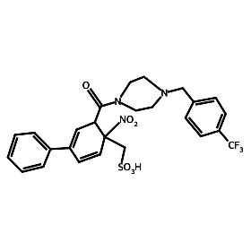 O=C(C1C=C(c2ccccc2)C=CC1(CS(=O)(=O)O)[N+](=O)[O-])N1CCN(Cc2ccc(C(F)(F)F)cc2)CC1